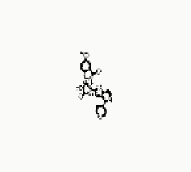 COc1ccc2c(c1)C(=O)N(C[C@@]1(c3cc4c(-c5ccncc5)nccc4o3)NC(=O)NC1=O)C2